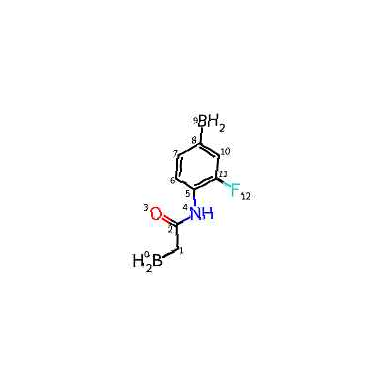 BCC(=O)Nc1ccc(B)cc1F